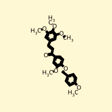 COc1ccc(COc2ccc(C(=O)/C=C/c3cc(OC)c(OC)c(OC)c3)cc2OC)cc1